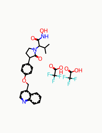 CC(C)C(C(=O)NO)N1CCC(c2ccc(OCc3ccnc4ccccc34)cc2)C1=O.O=C(O)C(F)(F)F.O=C(O)C(F)(F)F